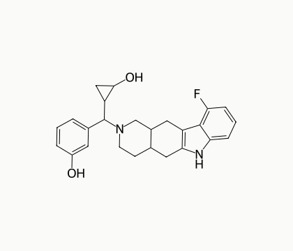 Oc1cccc(C(C2CC2O)N2CCC3Cc4[nH]c5cccc(F)c5c4CC3C2)c1